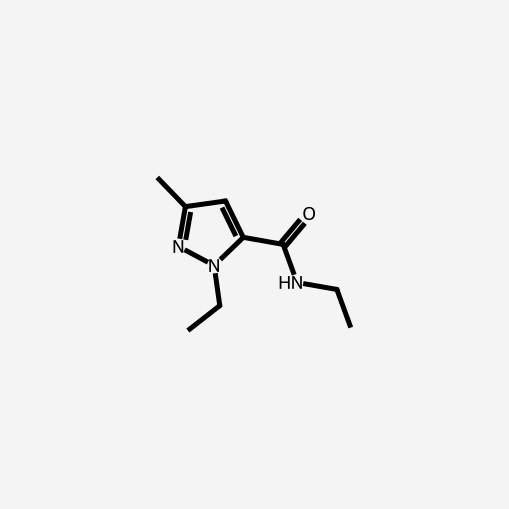 CCNC(=O)c1cc(C)nn1CC